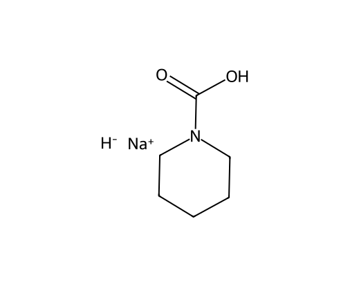 O=C(O)N1CCCCC1.[H-].[Na+]